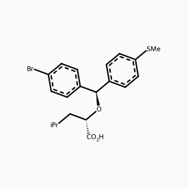 CSc1ccc([C@@H](O[C@@H](CC(C)C)C(=O)O)c2ccc(Br)cc2)cc1